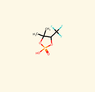 CC1(C)OP(=O)(O)OC1C(F)(F)F